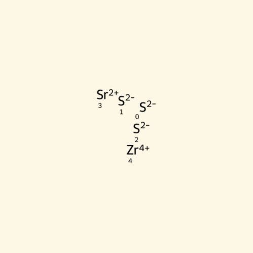 [S-2].[S-2].[S-2].[Sr+2].[Zr+4]